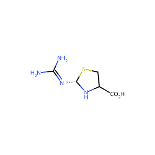 NC(N)=N[C@H]1NC(C(=O)O)CS1